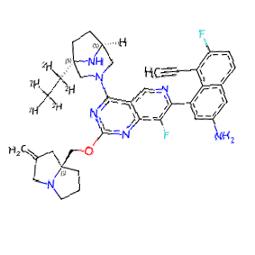 [2H]C([2H])([2H])C([2H])([2H])[C@@]12CC[C@@H](CN(c3nc(OC[C@@]45CCCN4CC(=C)C5)nc4c(F)c(-c5cc(N)cc6ccc(F)c(C#C)c56)ncc34)C1)N2